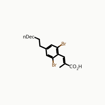 CCCCCCCCCCCCc1cc(Br)c(C=C(C)C(=O)O)c(Br)c1